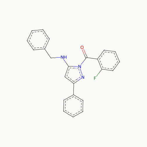 O=C(c1ccccc1F)n1nc(-c2ccccc2)cc1NCc1ccccc1